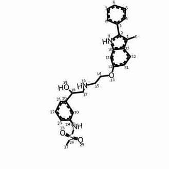 Cc1c(-c2ccccc2)[nH]c2cc(OCCNCC(O)c3cccc(NS(C)(=O)=O)c3)ccc12